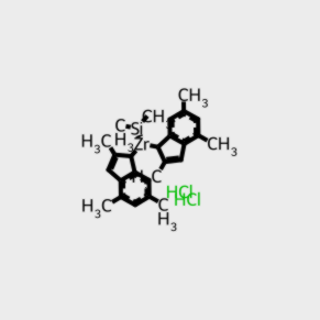 CC1=Cc2c(C)cc(C)cc2[CH]1[Zr]([CH]1C(C)=Cc2c(C)cc(C)cc21)=[Si](C)C.Cl.Cl